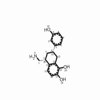 NC[C@@H]1C[C@H](c2cccc(O)c2)Cc2c1ccc(O)c2O